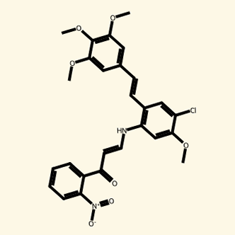 COc1cc(NC=CC(=O)c2ccccc2[N+](=O)[O-])c(C=Cc2cc(OC)c(OC)c(OC)c2)cc1Cl